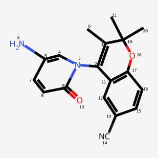 CC1=C(n2cc(N)ccc2=O)c2cc(C#N)ccc2OC1(C)C